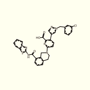 O=C(Nc1nc2ccccc2s1)c1cccc2c1CN(c1ccc(-c3cnn(Cc4cccc(Cl)c4)c3)c(C(=O)O)n1)CC2